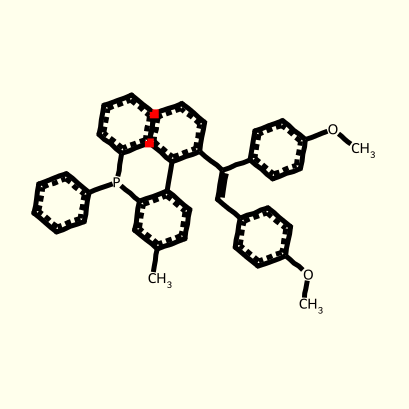 COc1ccc(/C=C(\c2ccc(OC)cc2)c2ccccc2-c2ccc(C)cc2P(c2ccccc2)c2ccccc2)cc1